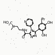 CC(C)c1cc(-c2nnc(C(=O)NCCN(C)C(=O)O)n2-c2cccnc2)c(O)cc1O